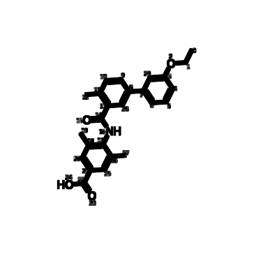 CCOc1cccc(-c2ccc(C)c(C(=O)Nc3c(C)cc(C(=O)O)cc3C)c2)c1